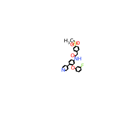 CCS(=O)(=O)c1ccc(CC(=O)Nc2ccc(-c3ccncc3)c(Oc3cccc(F)c3)c2)cc1